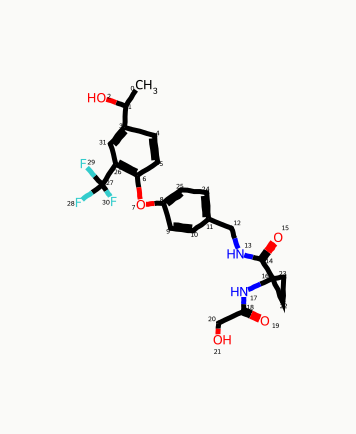 CC(O)c1ccc(Oc2ccc(CNC(=O)C3(NC(=O)CO)CC3)cc2)c(C(F)(F)F)c1